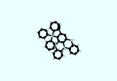 N#Cc1cc2c3c(c1[Si](c1ccccc1)(c1ccccc1)c1ccccc1)Oc1ccccc1B3c1ccccc1O2